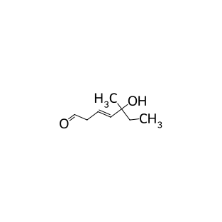 CCC(C)(O)/C=C/CC=O